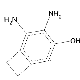 Nc1c(O)[c]c2c(c1N)CC2